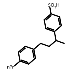 CCCc1ccc(CCC(C)c2ccc(S(=O)(=O)O)cc2)cc1